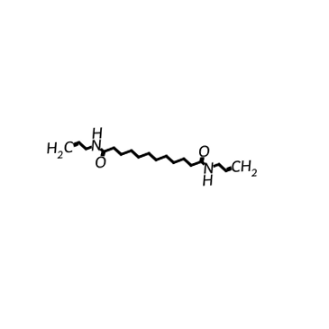 C=CCNC(=O)CCCCCCCCCCC(=O)NCC=C